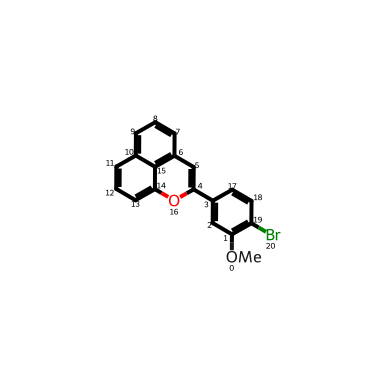 COc1cc(C2=Cc3cccc4cccc(c34)O2)ccc1Br